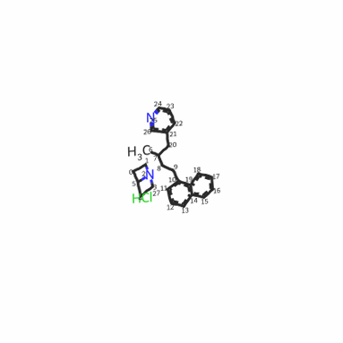 C1CN2CCC12.CC(CCc1cccc2ccccc12)Cc1cccnc1.Cl